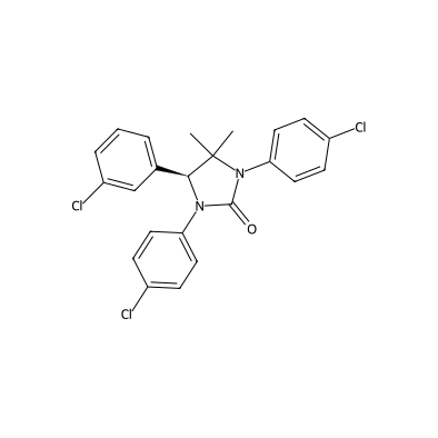 CC1(C)[C@H](c2cccc(Cl)c2)N(c2ccc(Cl)cc2)C(=O)N1c1ccc(Cl)cc1